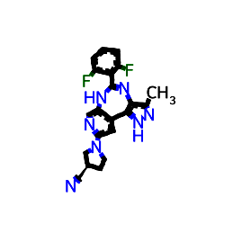 Cc1n[nH]c2c1N=C(c1c(F)cccc1F)Nc1cnc(N3CC[C@@H](C#N)C3)cc1-2